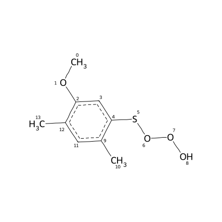 COc1cc(SOOO)c(C)cc1C